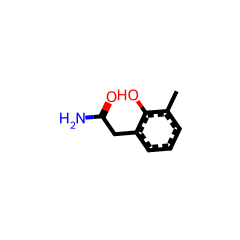 Cc1cccc(CC(N)=O)c1O